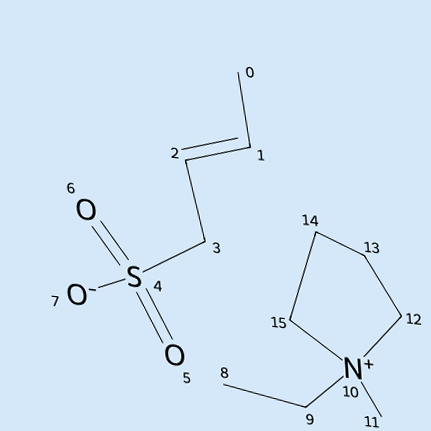 CC=CCS(=O)(=O)[O-].CC[N+]1(C)CCCC1